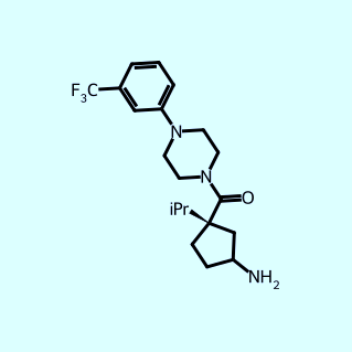 CC(C)[C@]1(C(=O)N2CCN(c3cccc(C(F)(F)F)c3)CC2)CCC(N)C1